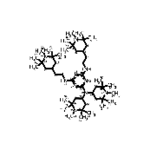 CN1C(C)(C)CC(CCNc2nc(NCCC3CC(C)(C)N(C)C(C)(C)C3)nc(N(C3CC(C)(C)N(C)C(C)(C)C3)C3CC(C)(C)N(C)C(C)(C)C3)n2)CC1(C)C